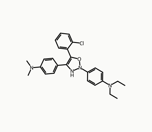 CCN(CC)c1ccc(N2NC(c3ccc(N(C)C)cc3)=C(c3ccccc3Cl)O2)cc1